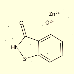 O=c1[nH]sc2ccccc12.[O-2].[Zn+2]